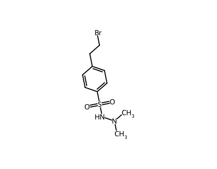 CN(C)NS(=O)(=O)c1ccc(CCBr)cc1